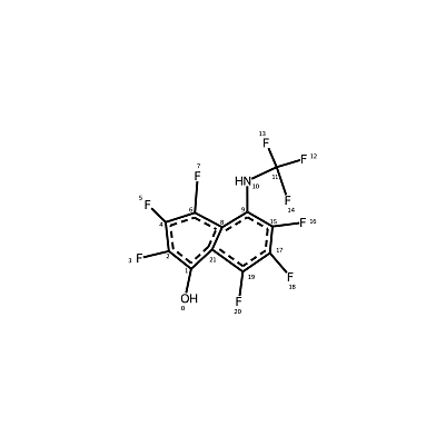 Oc1c(F)c(F)c(F)c2c(NC(F)(F)F)c(F)c(F)c(F)c12